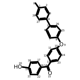 Cc1ccc(-c2ccc(Oc3ccc(C(=O)c4ccc(O)cc4)cc3)cc2)cc1